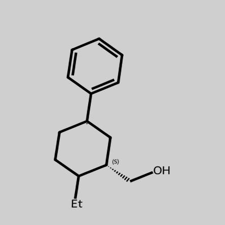 CCC1CC[C](c2ccccc2)C[C@@H]1CO